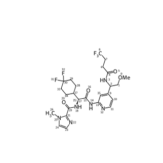 COCC(NC(=O)CCC(F)(F)F)c1ccnc(NC(=O)[C@@H](NC(=O)c2nccn2C)C2CCC(F)(F)CC2)c1